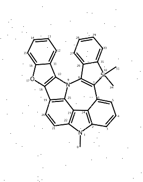 Cn1c2cccc3c4c(n5c6c7ccccc7oc6c6ccc1c(c32)c65)-c1ccccc1[Si]4(C)C